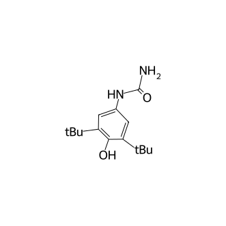 CC(C)(C)c1cc(NC(N)=O)cc(C(C)(C)C)c1O